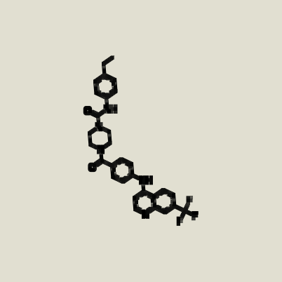 CCc1ccc(NC(=O)N2CCN(C(=O)c3ccc(Nc4ccnc5cc(C(F)(F)F)ccc45)cc3)CC2)cc1